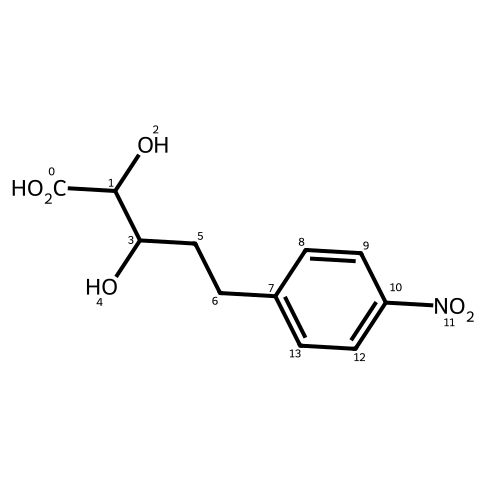 O=C(O)C(O)C(O)CCc1ccc([N+](=O)[O-])cc1